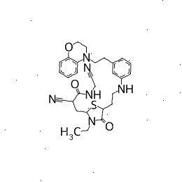 CCN1C(=O)C(CCNc2cccc(CCN3CCOc4ccccc43)c2)SC1CC(C#N)C(=O)NCC#N